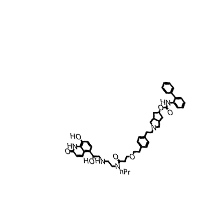 CCCN(CCNC[C@H](O)c1ccc(O)c2[nH]c(=O)ccc12)C(=O)CCOCCc1ccc(CCN2CC3CC(OC(=O)Nc4ccccc4-c4ccccc4)CC3C2)cc1